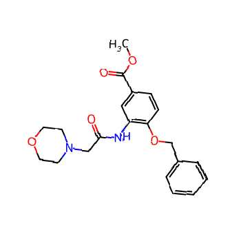 COC(=O)c1ccc(OCc2ccccc2)c(NC(=O)CN2CCOCC2)c1